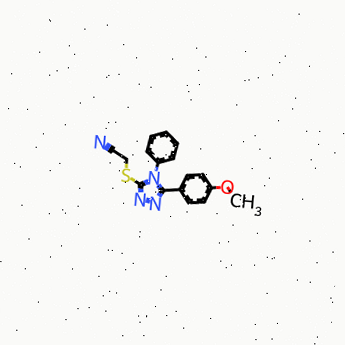 COc1ccc(-c2nnc(SCC#N)n2-c2ccccc2)cc1